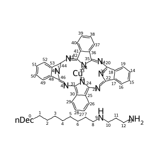 CCCCCCCCCCCCCCCCCCNCCCN.c1ccc2c(c1)C1=NC/2=N\c2c3ccccc3c3[n]2[Cu][n]2/c(c4ccccc4/c2=N/C2=N\C(=N/3)c3ccccc32)=N\1